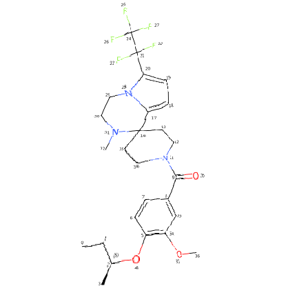 CC[C@H](C)Oc1ccc(C(=O)N2CCC3(CC2)c2ccc(C(F)(F)C(F)(F)F)n2CCN3C)cc1OC